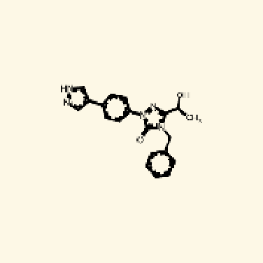 CC(O)c1nn(-c2ccc(-c3cn[nH]c3)cc2)c(=O)n1Cc1ccccc1